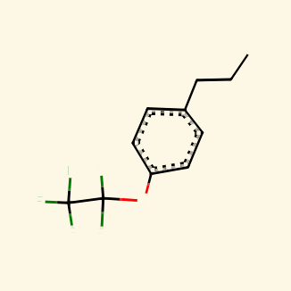 [CH]CCc1ccc(OC(F)(F)C(F)(F)F)cc1